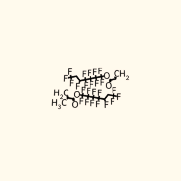 C=C(C)C(=O)OC(F)(F)C(F)(F)C(F)(F)C(F)(F)C(F)CC(F)(F)F.C=CC(=O)OC(F)(F)C(F)(F)C(F)(F)C(F)(F)C(F)CC(F)(F)F